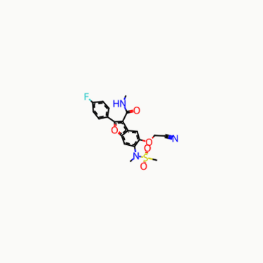 CNC(=O)c1c(-c2ccc(F)cc2)oc2cc(N(C)S(C)(=O)=O)c(OCC#N)cc12